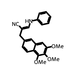 COc1cc2cc(CC(C#N)=CNc3ccccc3)ccc2c(OC)c1OC